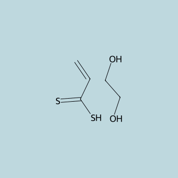 C=CC(=S)S.OCCO